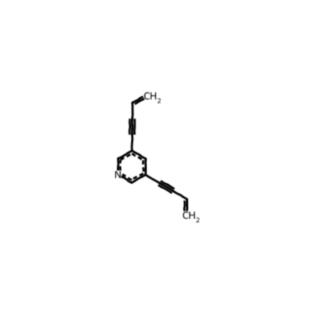 C=CC#Cc1cncc(C#CC=C)c1